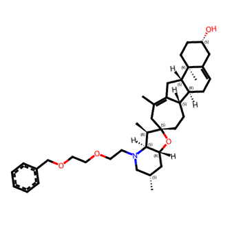 CC1=C2C[C@H]3[C@@H](CC=C4C[C@@H](O)CC[C@@]43C)[C@@H]2CC[C@@]2(C1)O[C@@H]1C[C@H](C)CN(CCOCCOCc3ccccc3)[C@H]1[C@H]2C